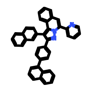 c1ccc(-c2cc3ccccc3c3c(-c4ccc5ccccc5c4)c(-c4ccc(-c5cccc6ccccc56)cc4)nn23)nc1